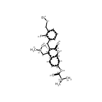 CCSCc1cccc(Cc2c(CN(C)C)c3ccc(OC(=O)N(C)C)cc3oc2=O)c1F